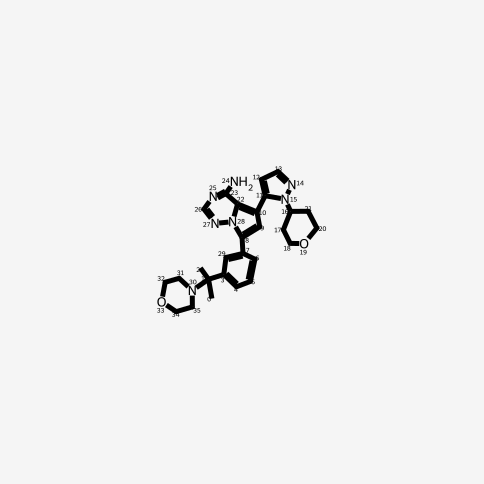 CC(C)(c1cccc(-c2cc(-c3ccnn3C3CCOCC3)c3c(N)ncnn23)c1)N1CCOCC1